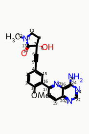 COc1ccc(C#C[C@]2(O)CCN(C)C2=O)cc1-c1ccc2ncnc(N)c2n1